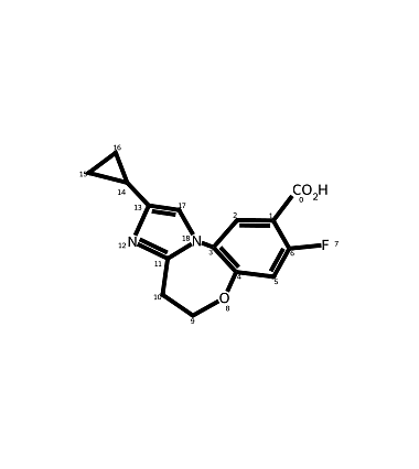 O=C(O)c1cc2c(cc1F)OCCc1nc(C3CC3)cn1-2